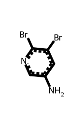 Nc1cnc(Br)c(Br)c1